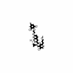 COCCCc1cc(CN(C(=O)[C@@H](CN)Cc2ccc(OCCOc3c(Cl)cc(C)cc3Cl)nc2)C2CC2)c(Cl)cn1